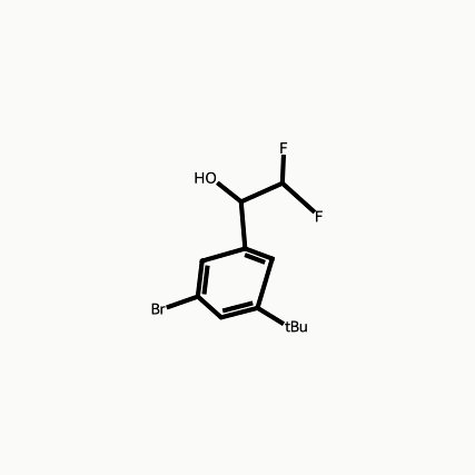 CC(C)(C)c1cc(Br)cc(C(O)C(F)F)c1